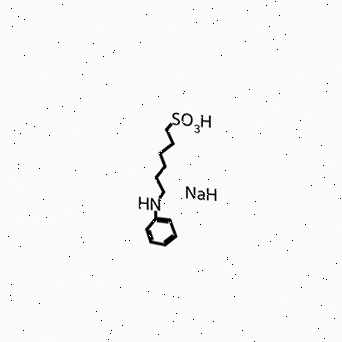 O=S(=O)(O)CCCCCCNc1ccccc1.[NaH]